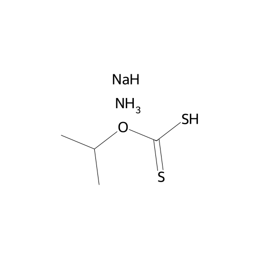 CC(C)OC(=S)S.N.[NaH]